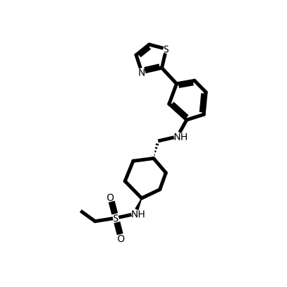 CCS(=O)(=O)N[C@H]1CC[C@H](CNc2cccc(-c3nccs3)c2)CC1